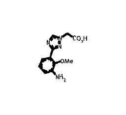 COc1c(N)cccc1-c1ncn(CC(=O)O)n1